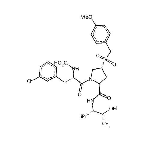 COc1ccc(CS(=O)(=O)[C@@H]2C[C@@H](C(=O)N[C@@H](C(C)C)[C@H](O)C(F)(F)F)N(C(=O)[C@H](Cc3cccc(Cl)c3)NC(=O)O)C2)cc1